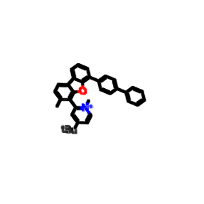 Cc1ccc2c(oc3c(-c4ccc(-c5ccccc5)cc4)cccc32)c1-c1cc(C(C)(C)C)cc[n+]1C